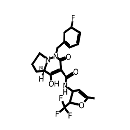 CC1=CC(NC(=O)C2=C(O)[C@@H]3CCCN3N(CC3=CC=CC(F)C3)C2=O)C(C(F)(F)F)O1